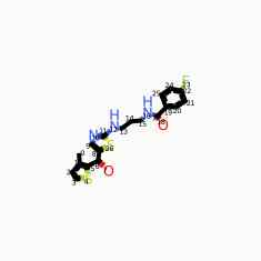 Cc1ccsc1C(=O)c1cnc(NCCCNC(=O)c2ccc(F)cc2)s1